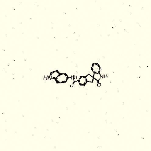 O=C(Nc1ccc2[nH]ccc2c1)c1ccc2c(c1)CC1(C2)C(=O)Nc2ncccc21